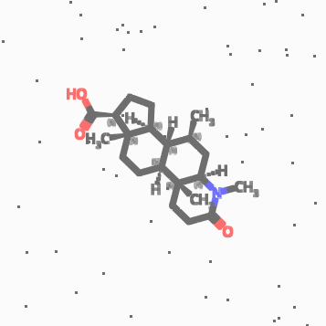 C[C@H]1C[C@H]2N(C)C(=O)CC[C@]2(C)[C@H]2CC[C@]3(C)[C@@H](C(=O)O)CC[C@H]3[C@H]12